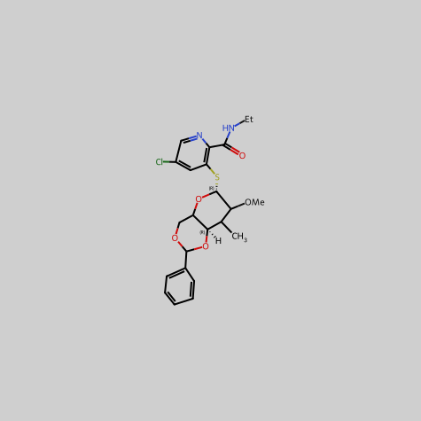 CCNC(=O)c1ncc(Cl)cc1S[C@H]1OC2COC(c3ccccc3)O[C@@H]2C(C)C1OC